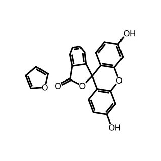 O=C1OC2(c3ccc(O)cc3Oc3cc(O)ccc32)c2ccccc21.c1ccoc1